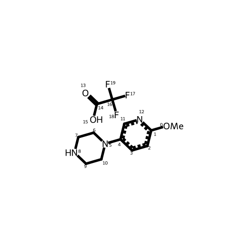 COc1ccc(N2CCNCC2)cn1.O=C(O)C(F)(F)F